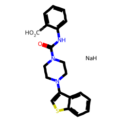 O=C(O)c1ccccc1NC(=O)N1CCN(c2csc3ccccc23)CC1.[NaH]